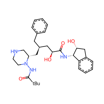 CC(C)(C)C(=O)NN1CCNC[C@@H]1C[C@@H](Cc1ccccc1)C[C@H](O)C(=O)N[C@H]1c2ccccc2C[C@H]1O